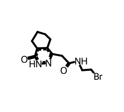 O=C(Cc1n[nH]c(=O)c2c1CCCC2)NCCBr